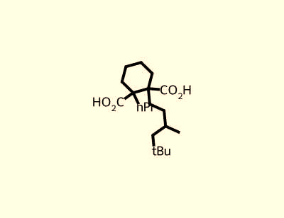 CCCC1(C(=O)O)CCCCC1(CCC(C)CC(C)(C)C)C(=O)O